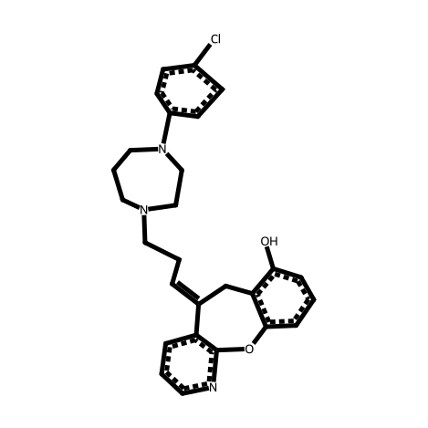 Oc1cccc2c1CC(=CCCN1CCCN(c3ccc(Cl)cc3)CC1)c1cccnc1O2